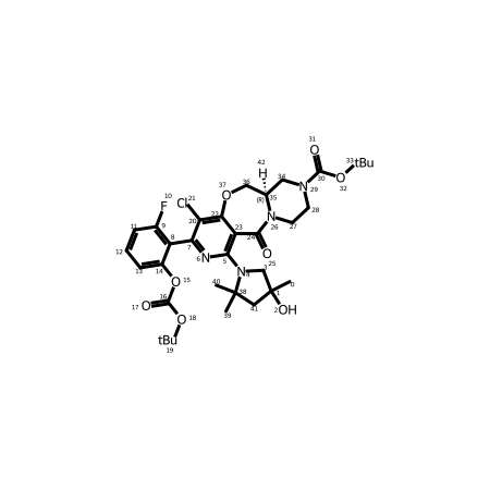 CC1(O)CN(c2nc(-c3c(F)cccc3OC(=O)OC(C)(C)C)c(Cl)c3c2C(=O)N2CCN(C(=O)OC(C)(C)C)C[C@@H]2CO3)C(C)(C)C1